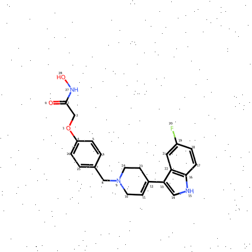 O=C(COc1ccc(CN2CC=C(c3c[nH]c4ccc(F)cc34)CC2)cc1)NO